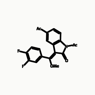 CO/C(=C1\C(=O)N(C(C)=O)c2ccc(C(C)=O)cc21)c1ccc(F)c(F)c1